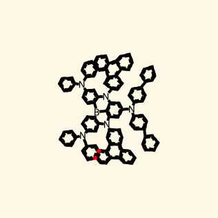 c1ccc(-c2ccc(N(c3ccc(-c4ccccc4)cc3)c3cc4c5c(c3)N(c3ccc6c7ccccc7c7ccccc7c6c3)c3cc(N(c6ccccc6)c6ccccc6)ccc3B5c3ccc(N(c5ccccc5)c5ccccc5)cc3N4c3ccc4c5ccccc5c5ccccc5c4c3)cc2)cc1